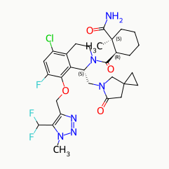 Cn1nnc(COc2c(F)cc(Cl)c3c2[C@@H](CN2CC4(CC4)CC2=O)N(C(=O)[C@@H]2CCCC[C@]2(C)C(N)=O)CC3)c1C(F)F